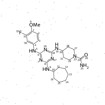 COc1ccc(Nc2nc(NC3CCCCCC3)nc(NC3CCN(C(N)=O)CC3)n2)cc1F